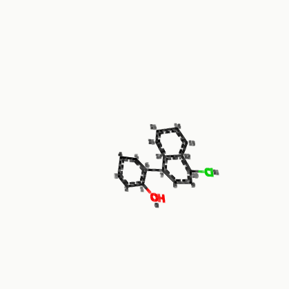 Oc1ccccc1-c1ccc(Cl)c2ccccc12